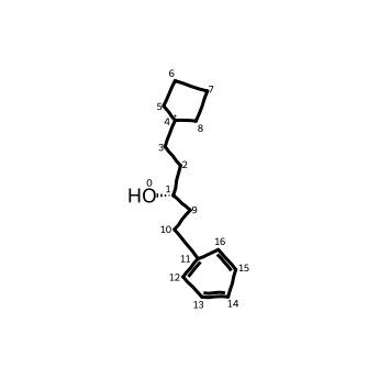 O[C@H](CC[C]1CCCC1)CCc1ccccc1